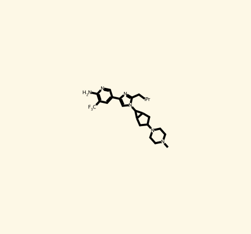 CC(C)Cc1nc(-c2cnc(N)c(C(F)(F)F)c2)cn1C1C2CC(N3CCN(C)CC3)CC21